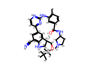 Cc1ccc(C(=O)NC2CCN(C)C2)cc1Nc1nccc(-c2cc(C#N)c3c(c2)[C@@](C)(CO[Si](C)(C)C(C)(C)C)CN3)n1